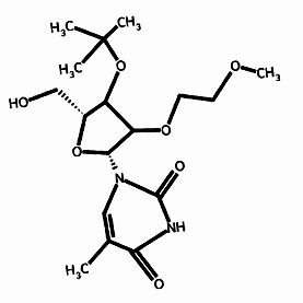 COCCOC1C(OC(C)(C)C)[C@@H](CO)O[C@H]1n1cc(C)c(=O)[nH]c1=O